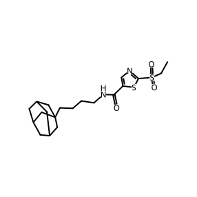 CCS(=O)(=O)c1ncc(C(=O)NCCCCC23CC4CC(CC(C4)C2)C3)s1